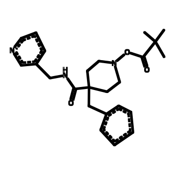 CC(C)(C)C(=O)ON1CCC(Cc2ccccc2)(C(=O)NCc2cccnc2)CC1